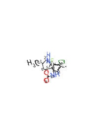 C[C@@H]1CNC[C@]2(C1)OC(=O)Nc1ccc(Cl)c(F)c12